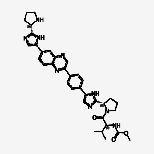 COC(=O)N[C@H](C(=O)N1CCC[C@H]1c1ncc(-c2ccc(-c3cnc4cc(-c5cnc([C@@H]6CCCN6)[nH]5)ccc4n3)cc2)[nH]1)C(C)C